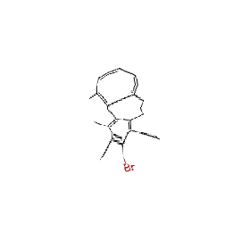 Cc1cccc2c1-c1c(C)c(C)c(Br)c(C)c1CC2